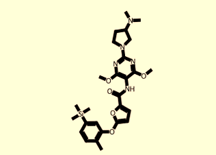 COc1nc(N2CCC(N(C)C)C2)nc(OC)c1NC(=O)c1ccc(Oc2cc([Si](C)(C)C)ccc2C)o1